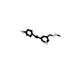 CO/N=C/c1cncc(C#Cc2ccc(F)cc2)c1